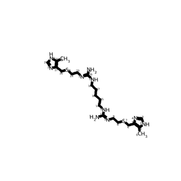 Cc1[nH]cnc1CSCCN=C(N)NCCCCCNC(N)=NCCSCc1nc[nH]c1C